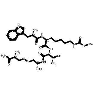 C[C@@H](O)[C@H](NC(=O)[C@H](CCCCCNC(=O)OC(C)(C)C)NC(=O)[C@H](N)Cc1c[nH]c2ccccc12)C(=O)N[C@@H](CSSC[C@H](N)C(N)=O)C(=O)O